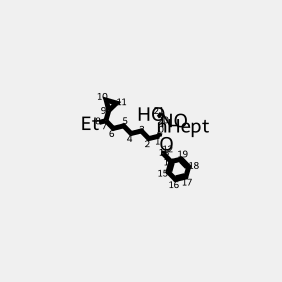 CCCCCCCC(CCCCCC(CC)C1CC1)OCc1ccccc1.O=NO